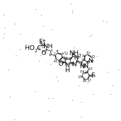 CC[C@H](NC(=O)CCc1ccc([C@]2(C)C(=O)Nc3nc(-c4nn(Cc5ccccc5F)c5ncccc45)nc(N)c32)cc1)C(=O)O